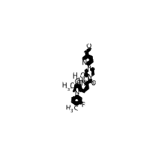 Cc1ccc(N2CC(C)(C)C=C2/C=C\C(=N)C(=O)N2CCN(c3ccc(CC=O)cn3)CC2(C)C)cc1F